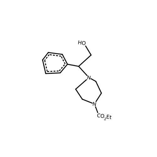 CCOC(=O)N1CCN(C(CO)c2ccccc2)CC1